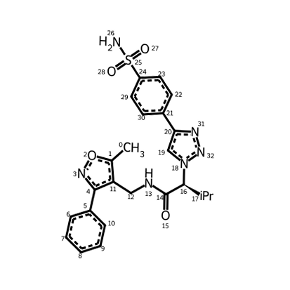 Cc1onc(-c2ccccc2)c1CNC(=O)[C@H](C(C)C)n1cc(-c2ccc(S(N)(=O)=O)cc2)nn1